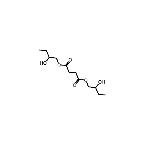 CCC(O)COC(=O)CCC(=O)OCC(O)CC